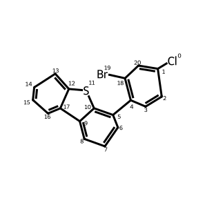 Clc1ccc(-c2cccc3c2sc2ccccc23)c(Br)c1